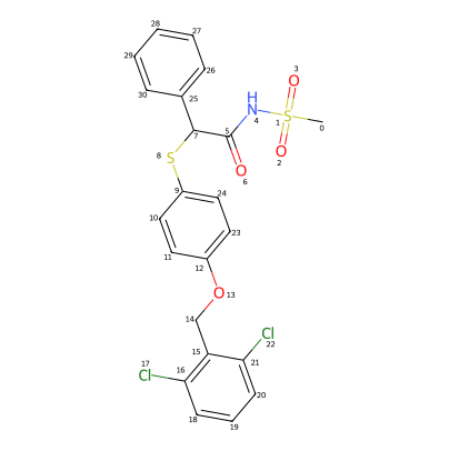 CS(=O)(=O)NC(=O)C(Sc1ccc(OCc2c(Cl)cccc2Cl)cc1)c1ccccc1